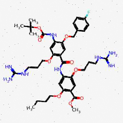 CCCCOc1cc(NC(=O)c2cc(OCc3ccc(F)cc3)c(NC(=O)OC(C)(C)C)cc2OCCCNC(=N)N)c(OCCCNC(=N)N)cc1C(=O)OC